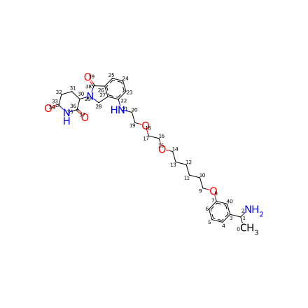 CC(N)c1cccc(OCCCCCCOCCOCCNc2cccc3c2CN(C2CCC(=O)NC2=O)C3=O)c1